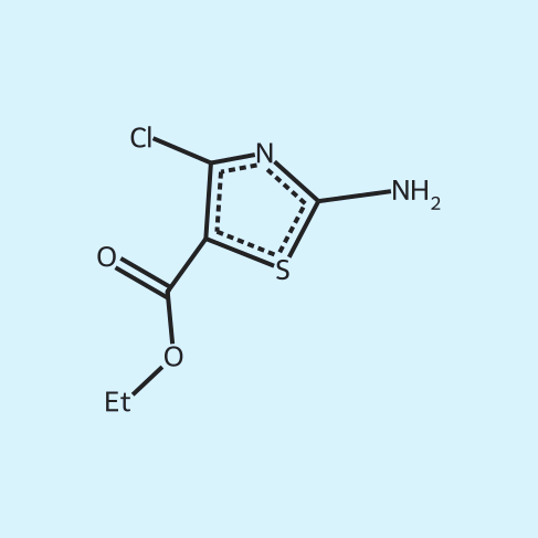 CCOC(=O)c1sc(N)nc1Cl